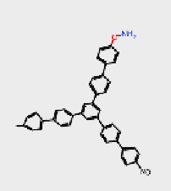 Cc1ccc(-c2ccc(-c3cc(-c4ccc(-c5ccc(N=O)cc5)cc4)cc(-c4ccc(-c5ccc(ON)cc5)cc4)c3)cc2)cc1